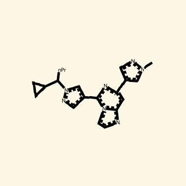 CCCC(C1CC1)n1cc(-c2nc(-c3cnn(C)c3)cc3nccn23)cn1